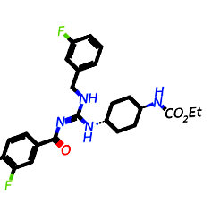 CCOC(=O)N[C@H]1CC[C@H](N/C(=N\C(=O)c2ccc(F)c(F)c2)NCc2cccc(F)c2)CC1